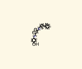 O=C(/C=C/c1ccc(O)cc1)CC(=O)/C=C/c1ccc(-c2ccccn2)s1